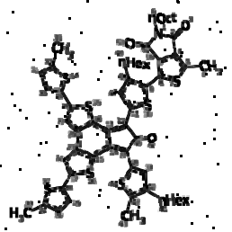 CCCCCCCCN1C(=O)c2c(C)sc(-c3sc(C4=c5c(c6sc(-c7ccc(C)s7)cc6c6cc(-c7ccc(C)s7)sc56)=C(c5cc(CCCCCC)c(C)s5)C4=O)cc3CCCCCC)c2C1=O